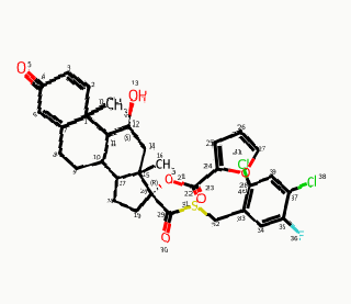 CC12C=CC(=O)C=C1CCC1C2[C@@H](O)CC2(C)C1CC[C@]2(OC(=O)c1ccco1)C(=O)SCc1cc(F)c(Cl)cc1Cl